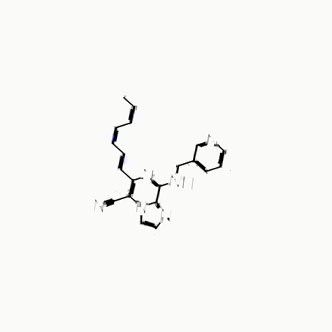 C\C=C/C=C\C=C\c1nc(NCc2cccnc2)c2nccn2c1C#N